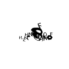 NCCNC(=O)c1ccc(F)cc1NC(=O)Nc1cccc(F)c1